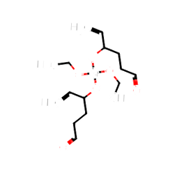 C=CC(CCC=O)O[Si](OCC)(OCC)OC(C=C)CCC=O